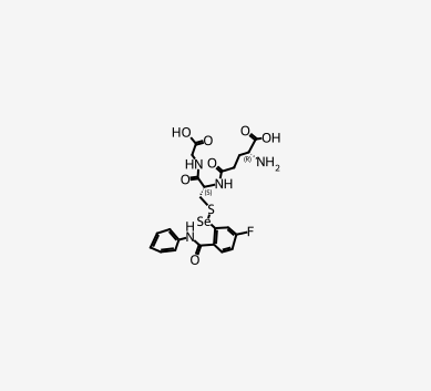 N[C@H](CCC(=O)N[C@H](CS[Se]c1cc(F)ccc1C(=O)Nc1ccccc1)C(=O)NCC(=O)O)C(=O)O